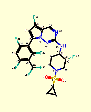 O=S(=O)(C1CC1)N1CC[C@@H](Nc2ncc3c(F)cc(-c4c(F)cc(F)c(C(F)F)c4F)n3n2)[C@H](F)C1